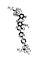 CCN(C)S(=O)(=O)Nc1ccc(F)c(Oc2ccc3ncn(-c4cnc(N5CCN(C(=O)OC(C)(C)C)CC5)nc4)c(=O)c3c2N)c1C#N